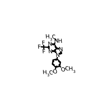 CNc1nc(C(F)(F)F)nc2c1ncn2-c1ccc(OC)c(OC)c1